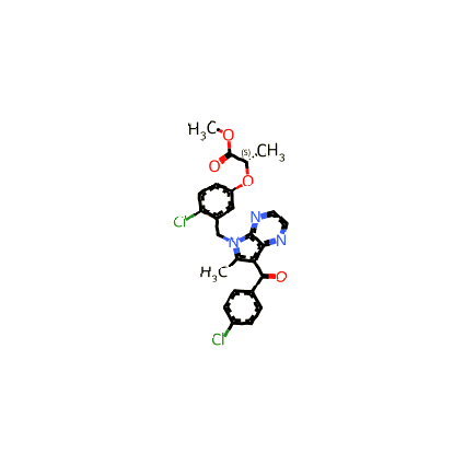 COC(=O)[C@H](C)Oc1ccc(Cl)c(Cn2c(C)c(C(=O)c3ccc(Cl)cc3)c3nccnc32)c1